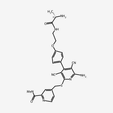 CNC(=O)c1cc(CSc2nc(N)c(C#N)c(-c3ccc(OCCNC(=O)[C@H](C)N)cc3)c2C#N)ccn1